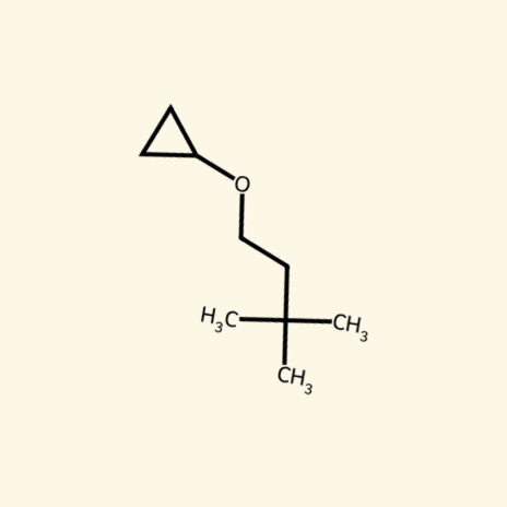 CC(C)(C)CCOC1CC1